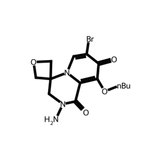 CCCCOc1c2n(cc(Br)c1=O)C1(COC1)CN(N)C2=O